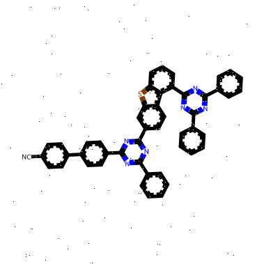 N#Cc1ccc(-c2ccc(-c3nc(-c4ccccc4)nc(-c4ccc5c(c4)sc4cccc(-c6nc(-c7ccccc7)nc(-c7ccccc7)n6)c45)n3)cc2)cc1